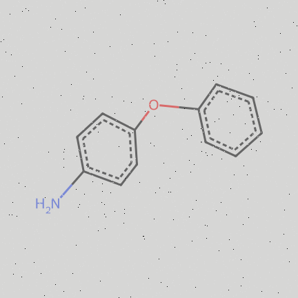 Nc1ccc(Oc2[c]cccc2)cc1